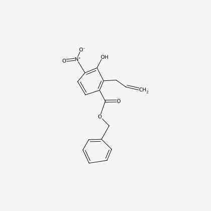 C=CCc1c(C(=O)OCc2ccccc2)ccc([N+](=O)[O-])c1O